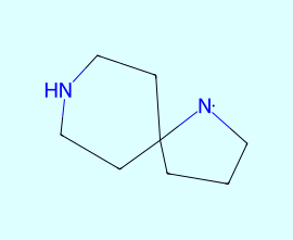 C1C[N]C2(C1)CCNCC2